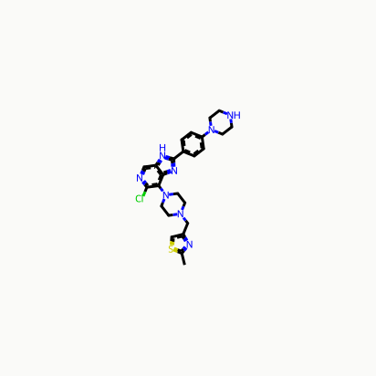 Cc1nc(CN2CCN(c3c(Cl)ncc4[nH]c(-c5ccc(N6CCNCC6)cc5)nc34)CC2)cs1